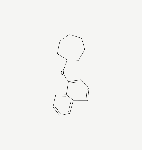 c1ccc2c(OC3CCCCCC3)cccc2c1